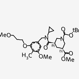 COCCCOc1cc(CN(C(=O)[C@@H]2C[C@H](C(=O)OC)CN(C(=O)OC(C)(C)C)C2)C2CC2)cc(OC)c1C